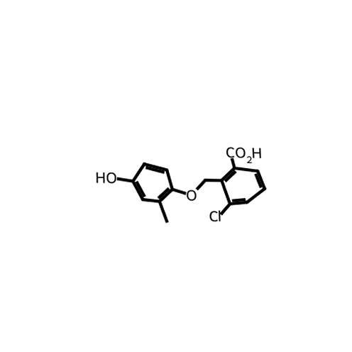 Cc1cc(O)ccc1OCc1c(Cl)cccc1C(=O)O